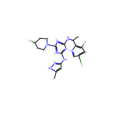 Cc1cc(Nc2nc(NC(C)c3ncc(F)cc3F)nc(N3CCC(F)CC3)n2)n[nH]1